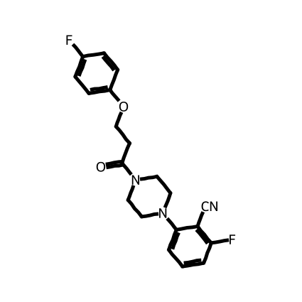 N#Cc1c(F)cccc1N1CCN(C(=O)CCOc2ccc(F)cc2)CC1